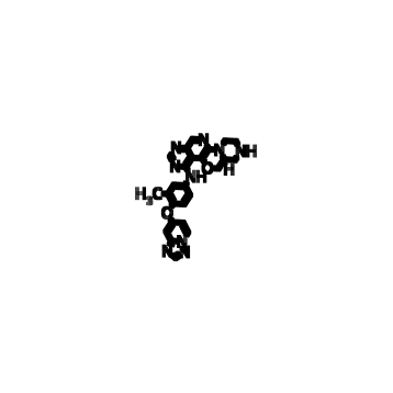 Cc1cc(Nc2ncnc3cnc4c(c23)OC[C@@H]2CNCCN42)ccc1Oc1ccn2ncnc2c1